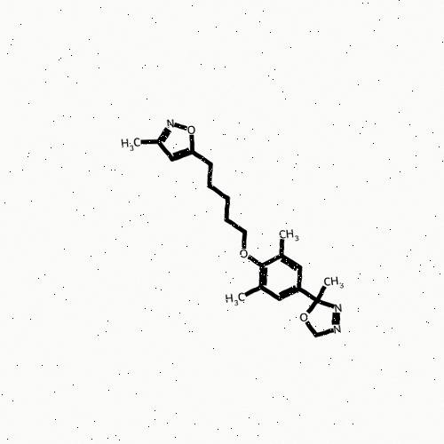 Cc1cc(CCCCCOc2c(C)cc(C3(C)N=NCO3)cc2C)on1